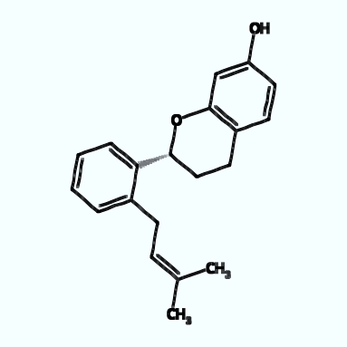 CC(C)=CCc1ccccc1[C@H]1CCc2ccc(O)cc2O1